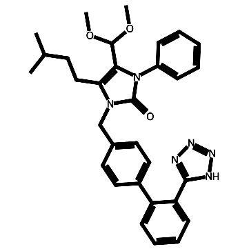 COC(OC)c1c(CCC(C)C)n(Cc2ccc(-c3ccccc3-c3nnn[nH]3)cc2)c(=O)n1-c1ccccc1